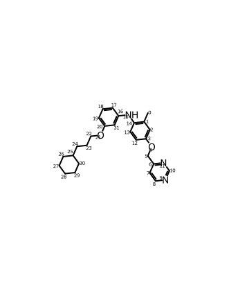 Cc1cc(OCc2ccncn2)ccc1Nc1cccc(OCCCC2CCCCC2)c1